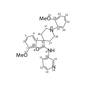 COc1cccc(C2(C(=O)Nc3cccnc3)CCN(c3ccccc3OC)CC2)c1